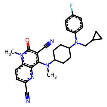 CN(c1c(C#N)c(=O)n(C)c2ccc(C#N)nc12)C1CCC(N(CC2CC2)c2ccc(F)cc2)CC1